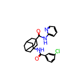 O=C(NC12CC3CC(C1)CC(C(=O)Nc1ccccn1)(C3)C2)c1cccc(Cl)c1